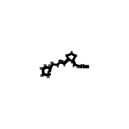 CCCCCCC=C1CCCC1=COCCc1ccccc1